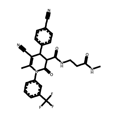 CNC(=O)CCNC(=O)C1C(=O)N(c2cccc(C(F)(F)F)c2)C(C)=C(C#N)C1c1ccc(C#N)cc1